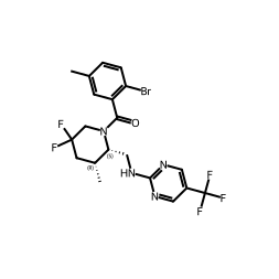 Cc1ccc(Br)c(C(=O)N2CC(F)(F)C[C@@H](C)[C@H]2CNc2ncc(C(F)(F)F)cn2)c1